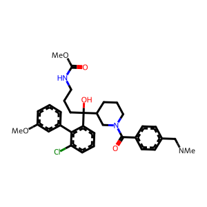 CNCc1ccc(C(=O)N2CCCC(C(O)(CCCNC(=O)OC)c3cccc(Cl)c3-c3cccc(OC)c3)C2)cc1